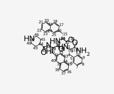 NC(=O)[C@H](Cc1ccccc1)NC(=O)[C@@H](Cc1ccc2ccccc2c1)NC(=O)[C@@H](Cc1ccc2ccccc2c1)NC(=O)C1CCNCC1